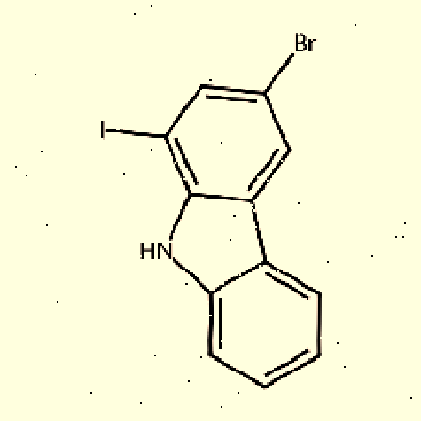 Brc1cc(I)c2[nH]c3ccccc3c2c1